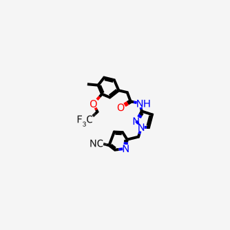 Cc1ccc(CC(=O)Nc2ccn(Cc3ccc(C#N)cn3)n2)cc1OCC(F)(F)F